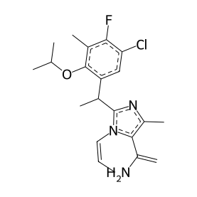 C=C(N)c1c(C)nc(C(C)c2cc(Cl)c(F)c(C)c2OC(C)C)n1/C=C\C